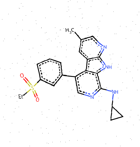 CCS(=O)(=O)c1cccc(-c2cnc(NC3CC3)c3[nH]c4ncc(C)cc4c23)c1